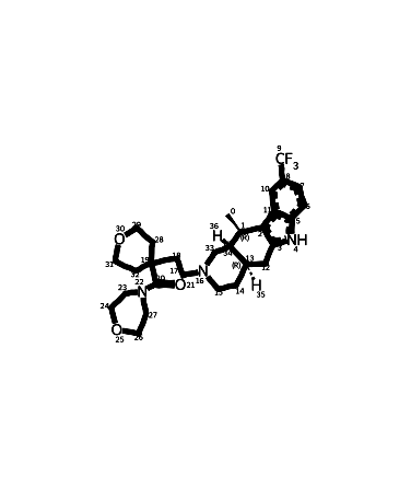 C[C@H]1c2c([nH]c3ccc(C(F)(F)F)cc23)C[C@H]2CCN(CCC3(C(=O)N4CCOCC4)CCOCC3)C[C@@H]21